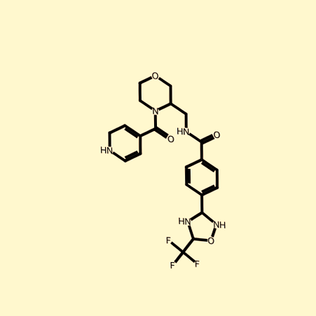 O=C(NCC1COCCN1C(=O)C1=CCNC=C1)c1ccc(C2NOC(C(F)(F)F)N2)cc1